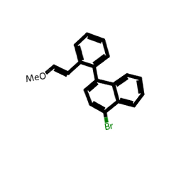 COC=Cc1ccccc1-c1ccc(Br)c2ccccc12